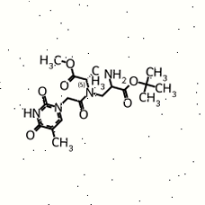 COC(=O)[C@H](C)N(CC(N)C(=O)OC(C)(C)C)C(=O)Cn1cc(C)c(=O)[nH]c1=O